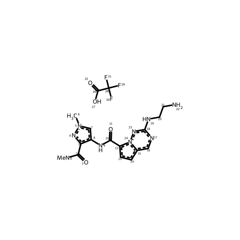 CNC(=O)c1nn(C)cc1NC(=O)c1ccc2cnc(NCCN)nn12.O=C(O)C(F)(F)F